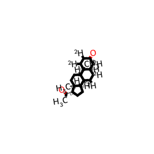 [2H]C1C(=O)C([2H])[C@@]2([2H])C([2H])C([2H])[C@H]3[C@@H]4CC[C@H](C(C)=O)[C@@]4(C)CC[C@@H]3[C@@]2(C)C1[2H]